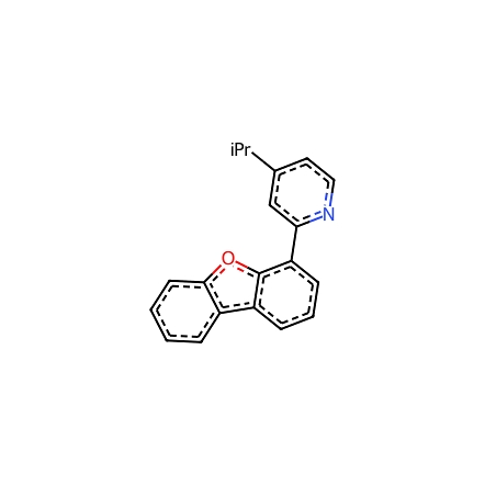 CC(C)c1ccnc(-c2cccc3c2oc2ccccc23)c1